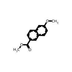 COC(=O)c1ccc2cc(OC)ccc2c1